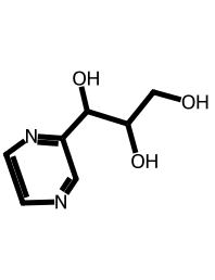 OCC(O)C(O)c1cnccn1